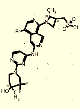 CCS(=O)(=O)C[C@H]1CN(c2ncc(C(C)C)c3cc(Nc4ccnc(N5CC[C@@](C)(O)C(F)(F)C5)n4)ncc23)[C@@H]1C